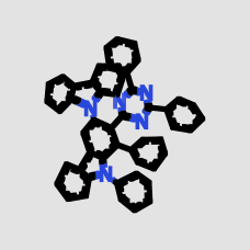 c1ccc(-c2nc(-c3ccccc3)nc(-c3c(-n4c5ccccc5c5ccccc54)cc4c5ccccc5n(-c5ccccc5)c4c3-c3ccccc3)n2)cc1